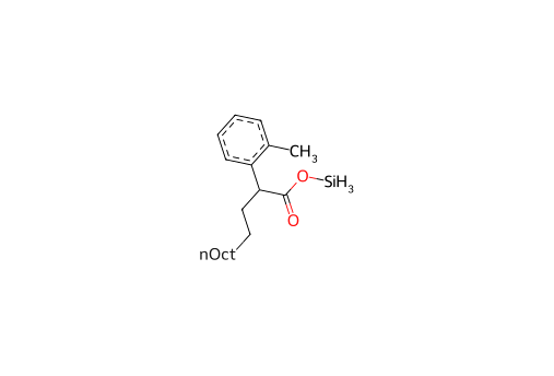 CCCCCCCCCCC(C(=O)O[SiH3])c1ccccc1C